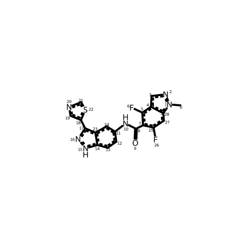 Cn1ncc2c(F)c(C(=O)Nc3ccc4[nH]nc(-c5cncs5)c4c3)c(F)cc21